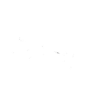 CN(Cc1ccc(C(N)=O)cc1)[C@H]1CC2CCC1C2